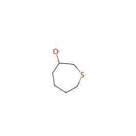 [O]C1CCCCSC1